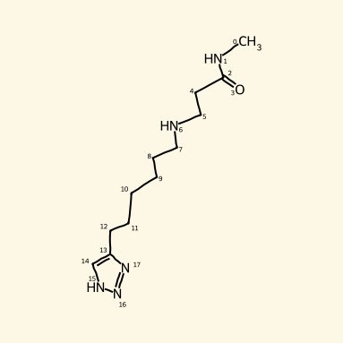 CNC(=O)CCNCCCCCCc1c[nH]nn1